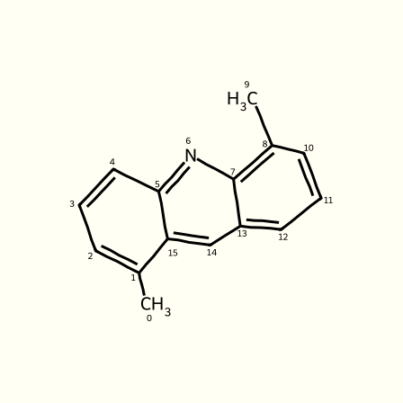 Cc1cccc2nc3c(C)cccc3cc12